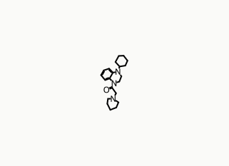 O=C(CN1CCCCC1)N1CCN(C2CCCCC2)c2ccccc21